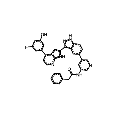 O=C(Cc1ccccc1)Nc1cncc(-c2ccc3[nH]nc(-c4cc5c(-c6cc(O)cc(F)c6)ccnc5[nH]4)c3c2)c1